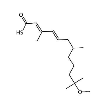 COC(C)(C)CCCC(C)C/C=C/C(C)=C/C(=O)S